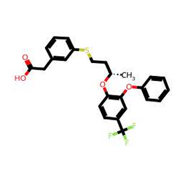 C[C@@H](CCSc1cccc(CC(=O)O)c1)Oc1ccc(C(F)(F)F)cc1Oc1ccccc1